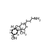 C[C@H]1CN(CCCN)CC[C@]1(C)c1cccc(O)c1